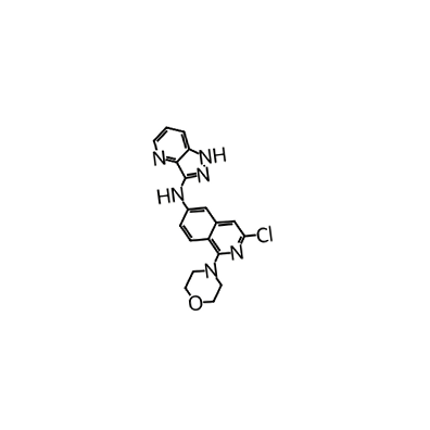 Clc1cc2cc(Nc3n[nH]c4cccnc34)ccc2c(N2CCOCC2)n1